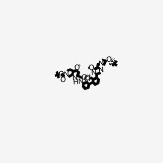 COc1cc(C(=O)Nc2cccc(-c3cccc(-c4cnc(CN5CC(O[Si](C)(C)C(C)(C)C)C5)c(OC)n4)c3Cl)c2Cl)nc2c1CCN(C(=O)OC(C)(C)C)C2